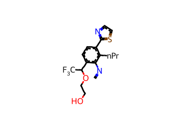 C=Nc1c(C(OCCO)C(F)(F)F)ccc(-c2nccs2)c1CCC